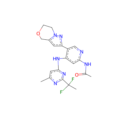 CC(=O)Nc1cc(Nc2cc(C)nc(C(C)(F)F)n2)c(-c2cc3n(n2)CCOC3)cn1